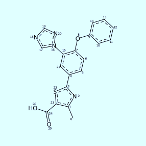 Cc1nc(-c2ccc(Oc3ccccc3)c(-n3cncn3)c2)sc1C(=O)O